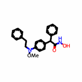 CON(CCc1ccccc1)c1ccc(C(C(=O)NO)c2ccccc2)cc1